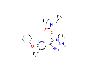 CN(CC1CC1)C(=O)OC/C(=C(/N)c1cnc(OC2CCCCC2)c(C(F)(F)F)c1)N(C)N